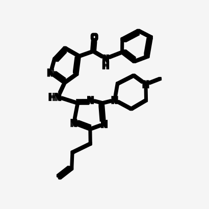 C=CCCc1nc(Nc2cc(C(=O)Nc3ccccc3)ccn2)nc(N2CCN(C)CC2)n1